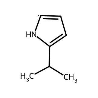 CC(C)c1cc[c][nH]1